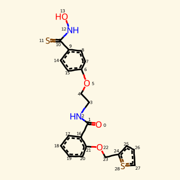 O=C(NCCOc1ccc(C(=S)NO)cc1)c1ccccc1OCc1cccs1